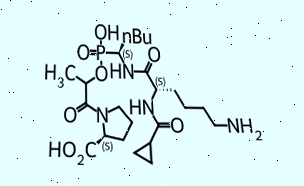 CCCC[C@@H](NC(=O)[C@H](CCCCN)NC(=O)C1CC1)P(=O)(O)OC(C)C(=O)N1CCC[C@H]1C(=O)O